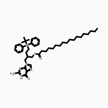 CCCCCCCCCCCCCCCCCC(=O)OCC(CC[Si](c1ccccc1)(c1ccccc1)C(C)(C)C)Cn1cnc2c(=O)[nH]c(N)nc21